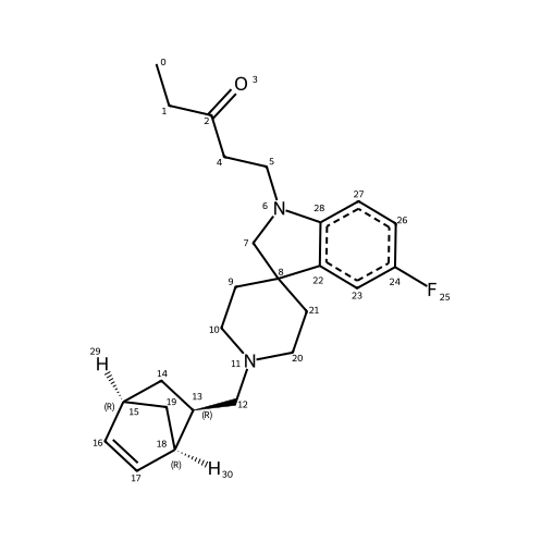 CCC(=O)CCN1CC2(CCN(C[C@@H]3C[C@@H]4C=C[C@H]3C4)CC2)c2cc(F)ccc21